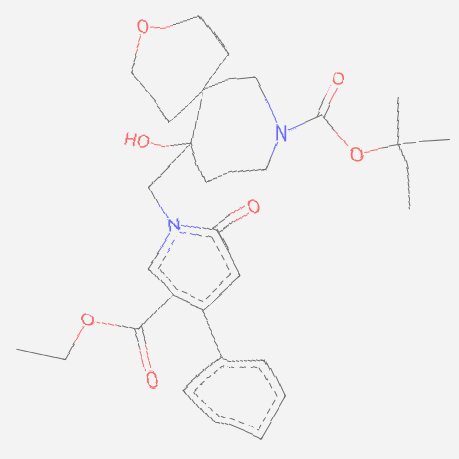 CCOC(=O)c1cn(CC2(O)CCN(C(=O)OC(C)(C)C)CC23CCOCC3)c(=O)cc1-c1ccccc1